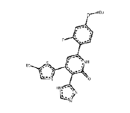 CCCCOc1ccc(-c2cc(-c3ncc(CC)s3)c(-c3nnc[nH]3)c(=O)[nH]2)c(F)c1